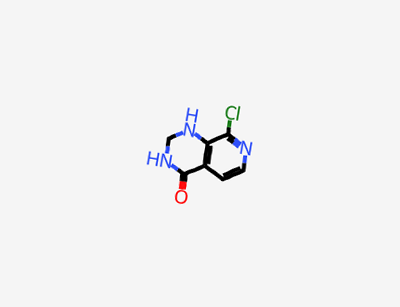 O=C1NCNc2c1ccnc2Cl